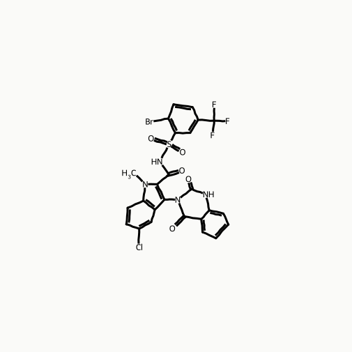 Cn1c(C(=O)NS(=O)(=O)c2cc(C(F)(F)F)ccc2Br)c(-n2c(=O)[nH]c3ccccc3c2=O)c2cc(Cl)ccc21